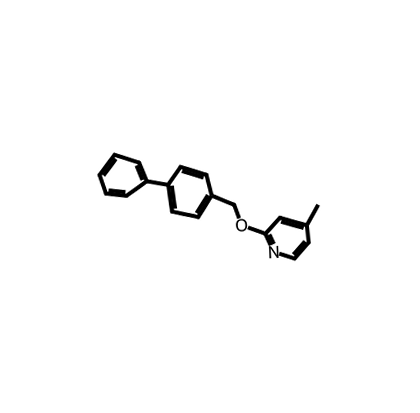 Cc1ccnc(OCc2ccc(-c3ccccc3)cc2)c1